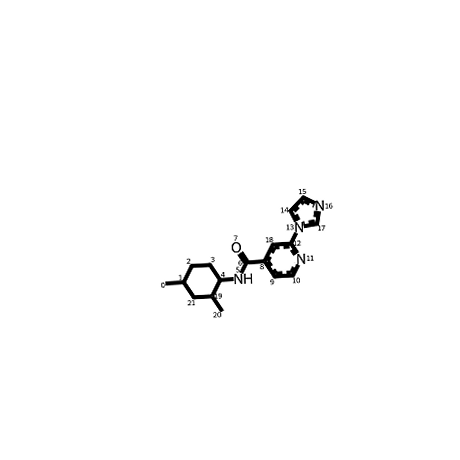 CC1CCC(NC(=O)c2ccnc(-n3ccnc3)c2)C(C)C1